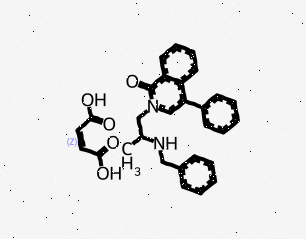 CC(Cn1cc(-c2ccccc2)c2ccccc2c1=O)NCc1ccccc1.O=C(O)/C=C\C(=O)O